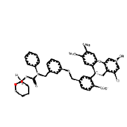 COc1ccc([C@H](Cc2c(Cl)c[n+](O)cc2Cl)c2cc(COc3cccc(CN(C(=O)O[C@H]4CN5CCC4CC5)c4ccccc4)c3)ccc2C(=O)[O-])cc1OC